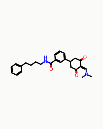 CN(C)C=C1C(=O)CC(c2cccc(C(=O)NCCCCc3ccccc3)c2)CC1=O